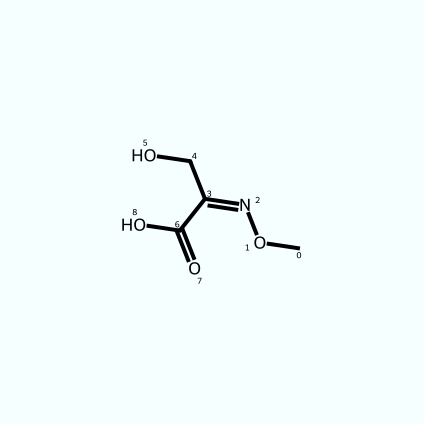 CON=C(CO)C(=O)O